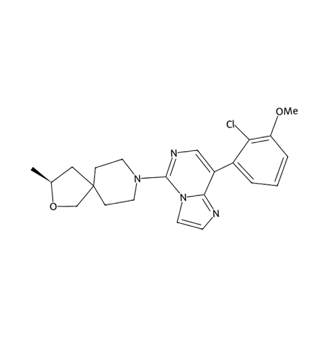 COc1cccc(-c2cnc(N3CCC4(CC3)CO[C@@H](C)C4)n3ccnc23)c1Cl